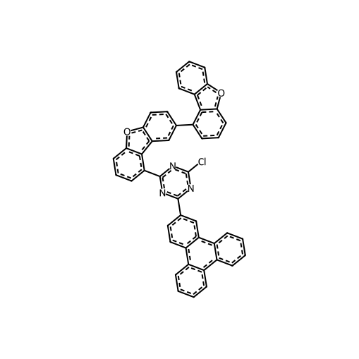 Clc1nc(-c2ccc3c4ccccc4c4ccccc4c3c2)nc(-c2cccc3oc4ccc(-c5cccc6oc7ccccc7c56)cc4c23)n1